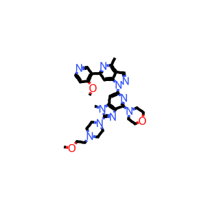 COCCN1CCN(c2nc3c(N4CCOCC4)nc(-n4ncc5c(C)nc(-c6cnccc6OC)cc54)cc3n2C)CC1